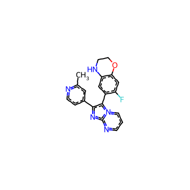 Cc1cc(-c2nc3ncccn3c2-c2cc3c(cc2F)OCCN3)ccn1